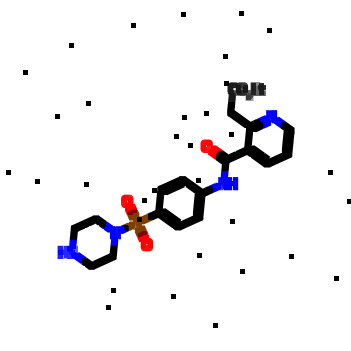 CCOC(=O)Cc1ncccc1C(=O)Nc1ccc(S(=O)(=O)N2CCNCC2)cc1